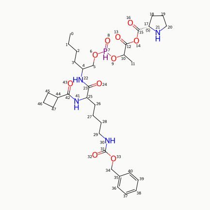 CCCCC(CO[PH](=O)OC(C)C(=O)OC(=O)[C@@H]1CCCN1)NC(=O)C(CCCCNC(=O)OCc1ccccc1)NC(=O)C1CCC1